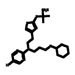 CCc1cnc(N(CCCOC2CCCCC2)CCc2csc(SC(C)(C)C(=O)O)n2)nc1